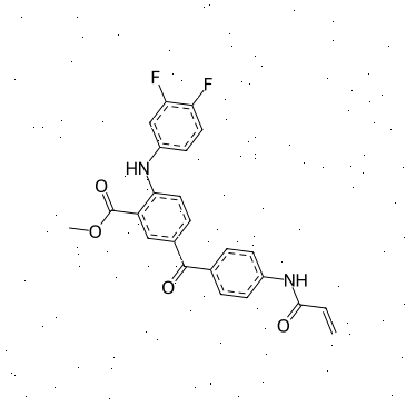 C=CC(=O)Nc1ccc(C(=O)c2ccc(Nc3ccc(F)c(F)c3)c(C(=O)OC)c2)cc1